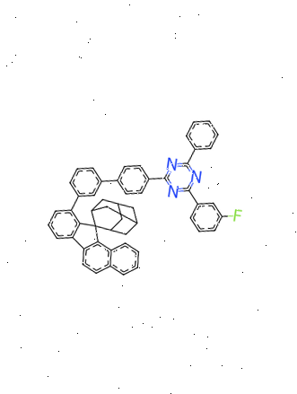 Fc1cccc(-c2nc(-c3ccccc3)nc(-c3ccc(-c4cccc(-c5cccc6c5C5(c7c-6ccc6ccccc76)C6CC7CC(C6)CC5C7)c4)cc3)n2)c1